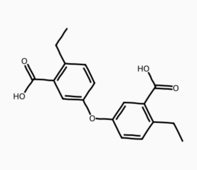 CCc1ccc(Oc2ccc(CC)c(C(=O)O)c2)cc1C(=O)O